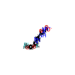 O=[N+]([O-])c1cn2c(n1)OC[C@@H](NCc1cnc(N3CCC(Oc4ccc(OC(F)(F)F)cc4)C(F)C3)nc1)C2